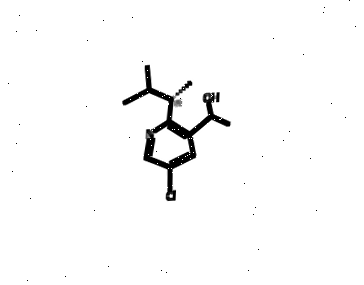 CC(O)c1cc(Cl)cnc1[C@@H](C)C(C)C